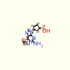 CC[C@@H](C)Oc1nc(N)nc2c1ncn2[C@@H]1C=C[C@H](CO)C1